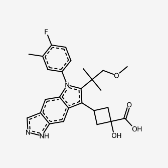 COCC(C)(C)c1c(C2CC(O)(C(=O)O)C2)c2cc3[nH]ncc3cc2n1-c1ccc(F)c(C)c1